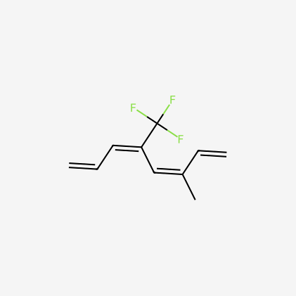 C=C/C=C(\C=C(\C)C=C)C(F)(F)F